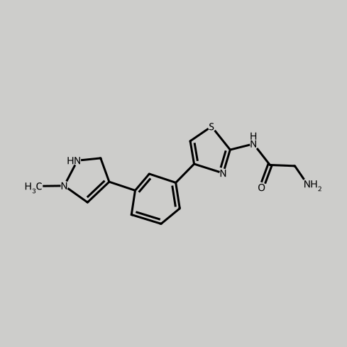 CN1C=C(c2cccc(-c3csc(NC(=O)CN)n3)c2)CN1